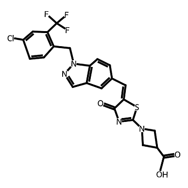 O=C1N=C(N2CC(C(=O)O)C2)SC1=Cc1ccc2c(cnn2Cc2ccc(Cl)cc2C(F)(F)F)c1